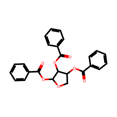 O=C(OC1COC(OC(=O)c2ccccc2)C1OC(=O)c1ccccc1)c1ccccc1